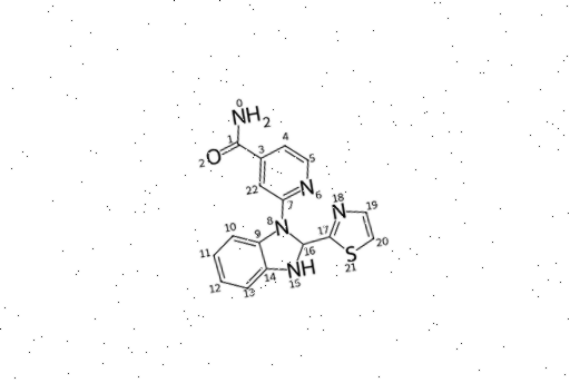 NC(=O)c1ccnc(N2c3ccccc3NC2c2nccs2)c1